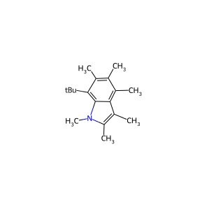 Cc1c(C)c(C(C)(C)C)c2c(c1C)c(C)c(C)n2C